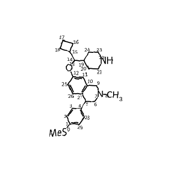 CSc1ccc(C2CN(C)Cc3cc(OC(C4CCC4)C4CCNCC4)ccc32)cc1